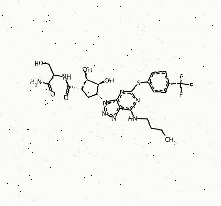 CCCCNc1nc(Sc2ccc(C(F)(F)F)cc2)nc2c1nnn2[C@@H]1C[C@H](C(=O)NC(CO)C(N)=O)[C@@H](O)[C@H]1O